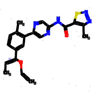 C=CO/C(=C\C)c1ccc(C)c(-c2cnc(NC(=O)c3snnc3C)cn2)c1